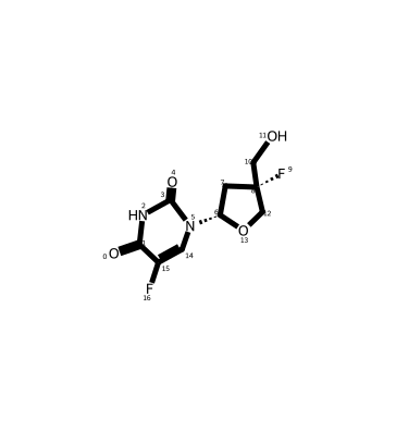 O=c1[nH]c(=O)n([C@@H]2C[C@@](F)(CO)CO2)cc1F